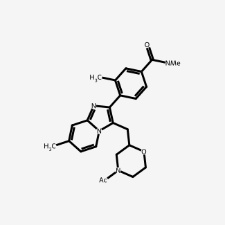 CNC(=O)c1ccc(-c2nc3cc(C)ccn3c2CC2CN(C(C)=O)CCO2)c(C)c1